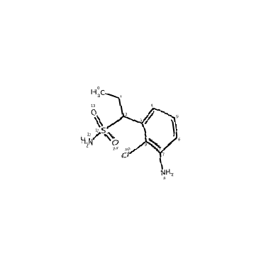 CCC(c1cccc(N)c1Cl)S(N)(=O)=O